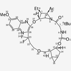 CC[C@@H]1[C@@H]2CN(C(=O)[C@H](C(C)(C)C)NC(=O)O[C@@H]3CC4CC4[C@H]3COCCC(F)(F)c3nc4ccc(OC)cc4nc3O2)[C@@H]1C(C)=O